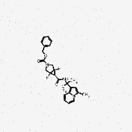 Cc1cc(C(C)(C)NC(=O)[C@H]2[C@@H]3CN(C(=O)OCc4ccccc4)C[C@@H]32)c2ccccn12